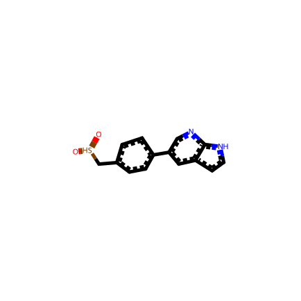 O=[SH](=O)Cc1ccc(-c2cnc3[nH]ccc3c2)cc1